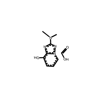 CN(C)c1nc2c(O)cccn2n1.O=CO